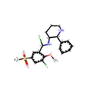 COc1c(F)cc(S(C)(=O)=O)cc1C(F)NC1CCCNC1c1ccccc1